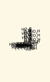 CC(C)(C(=O)O)C(CCO)(CC(O)(CCO)CCO)C(=O)O.CC(C)(CC(=O)O)C(=O)O.CC(C)(CC(=O)O)C(=O)O.CC(C)(CC(=O)O)C(=O)O.CC(C)(CC(=O)O)C(=O)O.CC(C)(CC(=O)O)C(=O)O.CC(C)(CC(=O)O)C(=O)O.CC(C)(CC(=O)O)C(=O)O